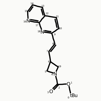 CC(C)(C)OC(=O)N1CC(C=Cc2ccc3cccnc3n2)C1